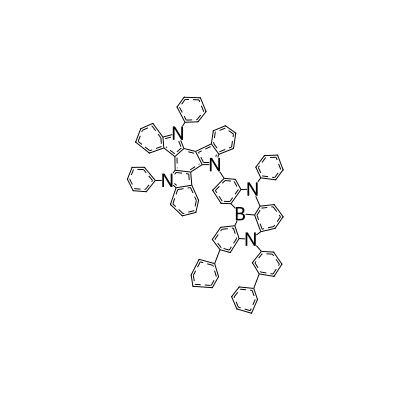 c1ccc(-c2cccc(N3c4cc(-c5ccccc5)ccc4B4c5ccc(-n6c7ccccc7c7c8c(c9ccccc9n8-c8ccccc8)c8c(c9ccccc9n8-c8ccccc8)c76)cc5N(c5ccccc5)c5cccc3c54)c2)cc1